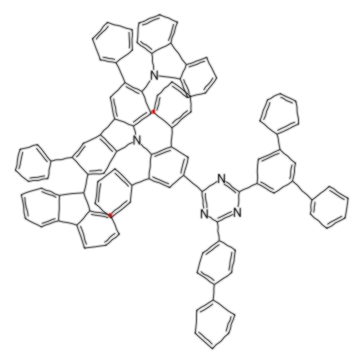 c1ccc(-c2ccc(-c3nc(-c4cc(-c5ccccc5)cc(-c5ccccc5)c4)nc(-c4cc(-c5ccccc5)c(-n5c6cc(C7c8ccccc8-c8ccccc87)c(-c7ccccc7)cc6c6cc(-c7ccccc7)c(-n7c8ccccc8c8ccccc87)cc65)c(-c5ccccc5)c4)n3)cc2)cc1